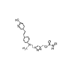 CCNC(=O)OCc1cn(CCN(C)c2ccc(/C=C/c3ccc(O)nc3)cc2)nn1